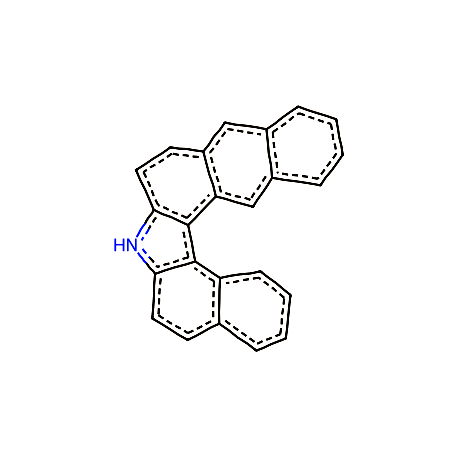 c1ccc2cc3c(ccc4[nH]c5ccc6ccccc6c5c43)cc2c1